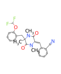 CN1C(=O)C(C)(Cc2ccccc2OC(F)F)N(C)C(=O)C1=Cc1ccccc1C#N